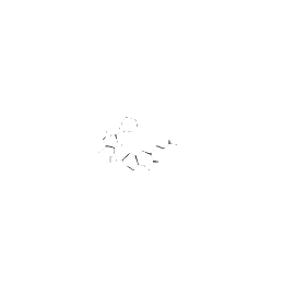 C[C@@H]1C[C@H](C)CN(c2ncc(Cl)c(Nc3ccc4c(c3)cc(/C=C/C(=O)O)c(=O)n4C)n2)C1